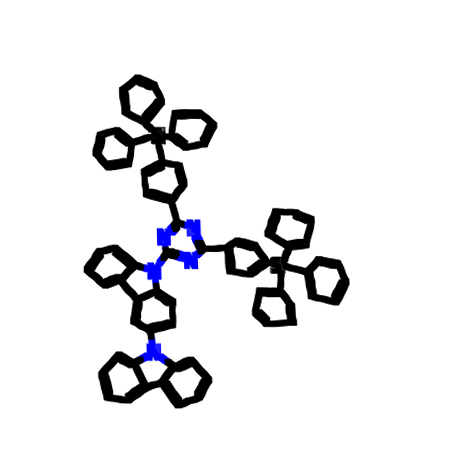 c1ccc([Si](c2ccccc2)(c2ccccc2)c2ccc(-c3nc(-c4ccc([Si](c5ccccc5)(c5ccccc5)c5ccccc5)cc4)nc(-n4c5ccccc5c5cc(-n6c7ccccc7c7ccccc76)ccc54)n3)cc2)cc1